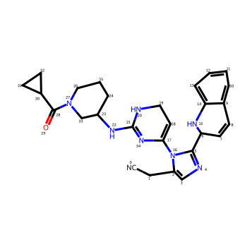 N#CCc1cnc(C2C=Cc3ccccc3N2)n1C1=CCNC(NC2CCCN(C(=O)C3CC3)C2)=N1